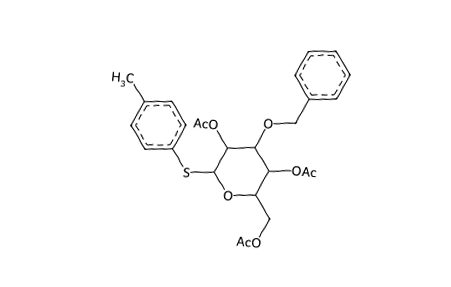 CC(=O)OCC1OC(Sc2ccc(C)cc2)C(OC(C)=O)C(OCc2ccccc2)C1OC(C)=O